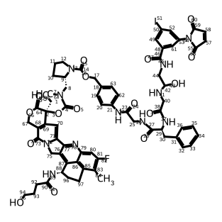 CC[C@@]1(OC(=O)N(C)C[C@@H]2CCCN2C(=O)OCc2ccc(NC(=O)CNC(=O)[C@H](Cc3ccccc3)NC(=O)CNC(O)CNC(=O)c3cc(I)cc(N4C(=O)C=CC4=O)c3)cc2)C(=O)OCc2c1cc1n(c2=O)Cc2c-1nc1cc(F)c(C)c3c1c2[C@@H](NC(=O)CCCO)CC3